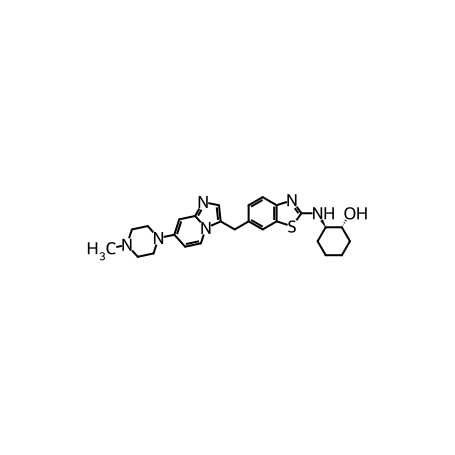 CN1CCN(c2ccn3c(Cc4ccc5nc(N[C@@H]6CCCC[C@H]6O)sc5c4)cnc3c2)CC1